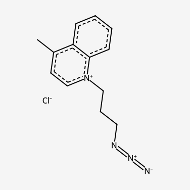 Cc1cc[n+](CCCN=[N+]=[N-])c2ccccc12.[Cl-]